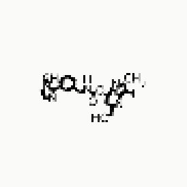 Cc1nn2c(OC(=O)NCc3cccc(-c4nccn4C)c3)cc(CO)nc2c1I